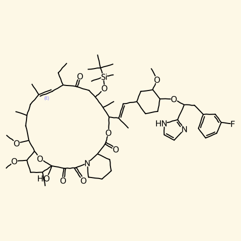 CCC1/C=C(\C)CC(C)CC(OC)C2OC(O)(C(=O)C(=O)N3CCCCC3C(=O)OC(C(C)=CC3CCC(OC(Cc4cccc(F)c4)c4ncc[nH]4)C(OC)C3)C(C)C(O[Si](C)(C)C(C)(C)C)CC1=O)C(C)CC2OC